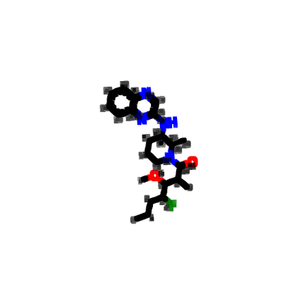 CCCC(F)C(OC)C(C)C(=O)N1CCC[C@@H](Nc2cnc3ccccc3n2)[C@H]1C